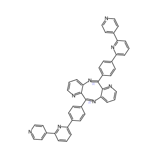 c1cc(-c2ccncc2)nc(-c2ccc(/C3=N/c4cccnc4/C(c4ccc(-c5cccc(-c6ccncc6)n5)cc4)=N\c4cccnc43)cc2)c1